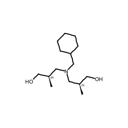 C[C@H](CO)CN(CC1CCCCC1)C[C@@H](C)CO